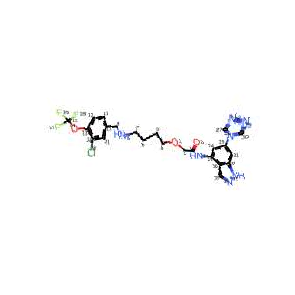 O=C(COCCCCNCc1ccc(OC(F)(F)F)c(Cl)c1)Nc1cc(-n2cnnc2)cc2[nH]ncc12